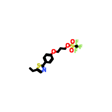 CCc1cnc(-c2ccc(OCCCOS(=O)(=O)C(F)(F)F)cc2)s1